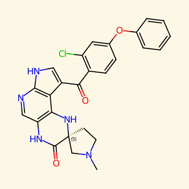 CN1CC[C@@]2(C1)Nc1c(cnc3[nH]cc(C(=O)c4ccc(Oc5ccccc5)cc4Cl)c13)NC2=O